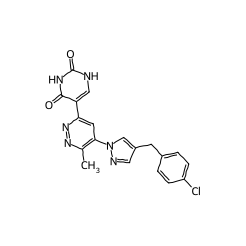 Cc1nnc(-c2c[nH]c(=O)[nH]c2=O)cc1-n1cc(Cc2ccc(Cl)cc2)cn1